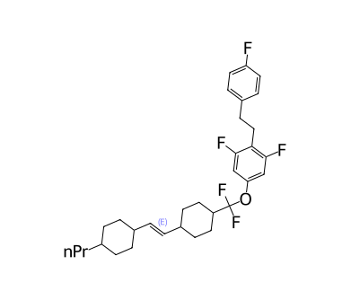 CCCC1CCC(/C=C/C2CCC(C(F)(F)Oc3cc(F)c(CCc4ccc(F)cc4)c(F)c3)CC2)CC1